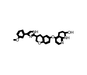 COc1cccc(-c2c[nH]c(C3COc4ccc(Oc5ccnc6c5CCC(O)N6)cc4C3)n2)c1